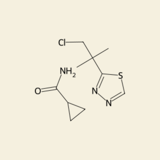 CC(C)(CCl)c1nncs1.NC(=O)C1CC1